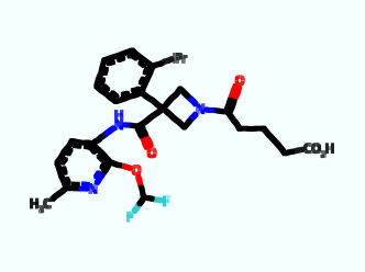 Cc1ccc(NC(=O)C2(c3ccccc3C(C)C)CN(C(=O)CCCC(=O)O)C2)c(OC(F)F)n1